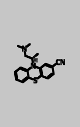 C[C@H](CN(C)C)N1c2ccccc2Sc2ccc(C#N)cc21